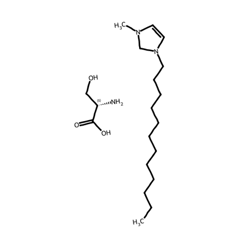 CCCCCCCCCCCCN1C=CN(C)C1.N[C@@H](CO)C(=O)O